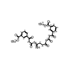 CC(C)(C)OC(=O)c1cccc(C(=O)CC(=O)SC(=N)CCC(=O)SC(=O)CC(=O)c2cccc(C(=O)OC(C)(C)C)c2)c1